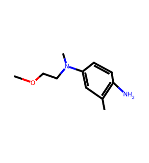 COCCN(C)c1ccc(N)c(C)c1